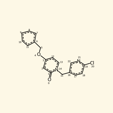 O=c1cc(OCc2ccccc2)ccn1Cc1ccc(Cl)nc1